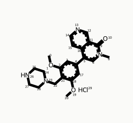 COc1cc(-c2cn(C)c(=O)c3cnccc23)cc(OC)c1CN1CCNCC1.Cl